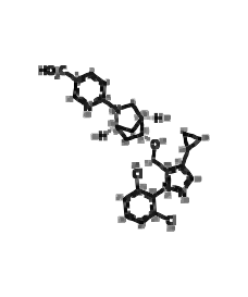 O=C(O)c1ccc(N2C[C@@H]3C[C@H]2C[C@H]3OCc2c(C3CC3)cnn2-c2c(Cl)cccc2Cl)nc1